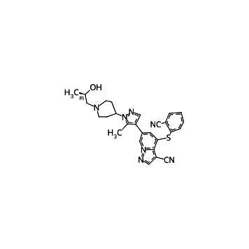 Cc1c(-c2cc(Sc3ccccc3C#N)c3c(C#N)cnn3c2)cnn1C1CCN(C[C@@H](C)O)CC1